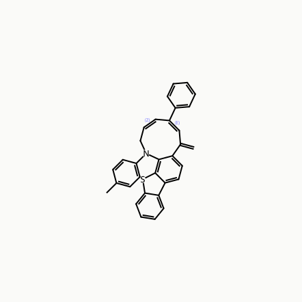 C=C1/C=C(c2ccccc2)\C=C/CN(c2ccc(C)cc2)c2c1ccc1c2sc2ccccc21